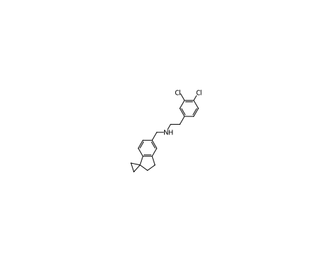 Clc1ccc(CCNCc2ccc3c(c2)CCC32CC2)cc1Cl